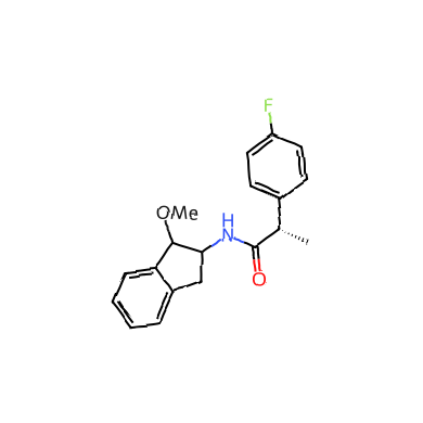 COC1c2ccccc2CC1NC(=O)[C@@H](C)c1ccc(F)cc1